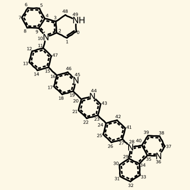 C1=Cc2c(c3ccccc3n2-c2cccc(-c3ccc(-c4ccc(-c5ccc(-n6c7ccccc7c7ncccc76)cc5)cn4)nc3)c2)CN1